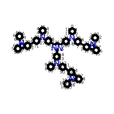 c1ccc(N(c2ccc(-c3ccc4c5ccccc5n(-c5ccccc5)c4c3)cc2)c2ccc(-c3cc(-c4ccc(N(c5ccccc5)c5ccc(-c6ccc7c8ccccc8n(-c8ccccc8)c7c6)cc5)cc4)nc(-c4ccc(N(c5ccccc5)c5ccc(-c6ccc7c8ccccc8n(-c8ccccc8)c7c6)cc5)cc4)n3)cc2)cc1